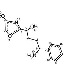 CC(=O)Oc1coc([C@@H](O)CC[C@H](N)c2ccccc2)n1